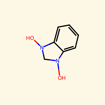 ON1CN(O)c2ccccc21